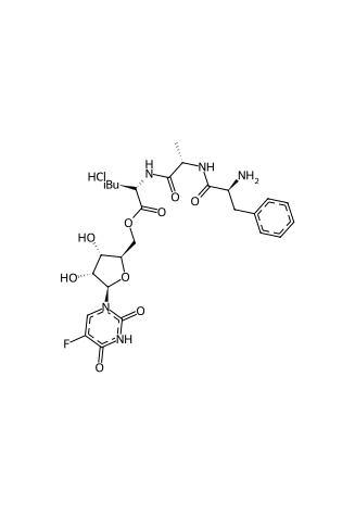 CC[C@H](C)[C@H](NC(=O)[C@H](C)NC(=O)[C@@H](N)Cc1ccccc1)C(=O)OC[C@H]1O[C@@H](n2cc(F)c(=O)[nH]c2=O)[C@H](O)[C@@H]1O.Cl